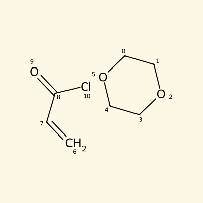 C1COCCO1.C=CC(=O)Cl